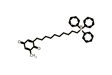 CC1=CC(=O)C=C(CCCCCCCCCC[PH](c2ccccc2)(c2ccccc2)c2ccccc2)C1=O